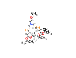 CCOCCN(CCPCCC(OC(C)C)OC(C)C)CCPCCC(OC(C)C)OC(C)C